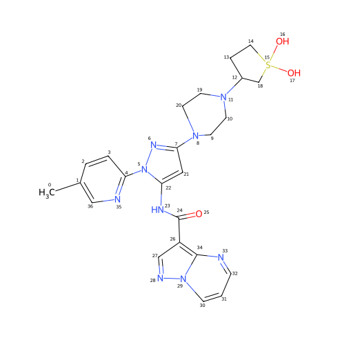 Cc1ccc(-n2nc(N3CCN(C4CCS(O)(O)C4)CC3)cc2NC(=O)c2cnn3cccnc23)nc1